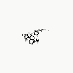 NCCOc1ccc(C(=C(CC(F)(F)F)c2ccccc2)c2ccc3[nH]nc(F)c3c2)cn1